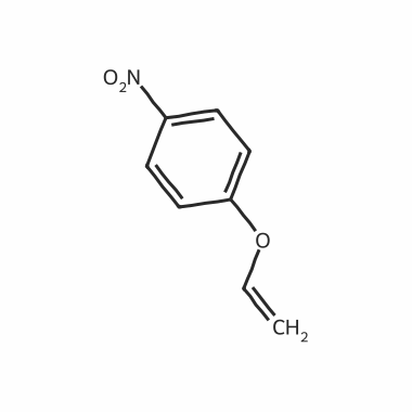 C=COc1ccc([N+](=O)[O-])cc1